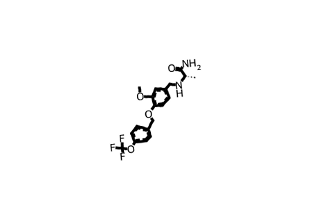 COc1cc(CN[C@@H](C)C(N)=O)ccc1OCc1ccc(OC(F)(F)F)cc1